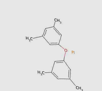 Cc1cc(C)cc(Oc2cc(C)cc(C)c2)c1.[P]